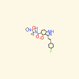 COc1c(C(=O)NC2(C(=O)N3CCC3)CC2)ccc2[nH]nc(/C=C/c3ccc(F)cc3)c12